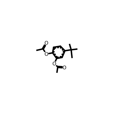 CC(=O)Oc1ccc(C(C)(C)C)cc1OC(C)=O